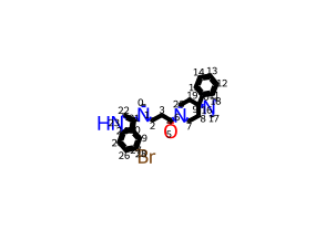 CN(CCC(=O)N1CCC(c2ccccc2)(N(C)C)CC1)c1c[nH]c2ccc(Br)cc12